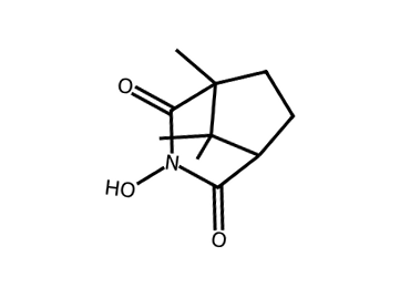 CC12CCC(C(=O)N(O)C1=O)C2(C)C